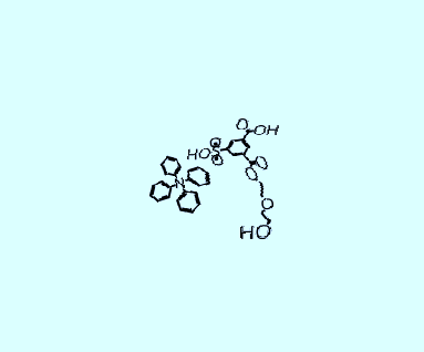 O=C(O)c1cc(C(=O)OCCOCCO)cc(S(=O)(=O)O)c1.c1ccc([N+](c2ccccc2)(c2ccccc2)c2ccccc2)cc1